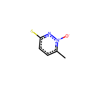 Cc1ccc([S])n[n+]1[O-]